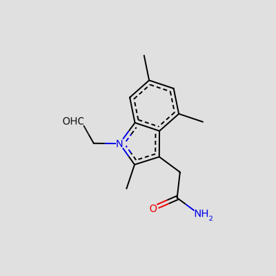 Cc1cc(C)c2c(CC(N)=O)c(C)n(CC=O)c2c1